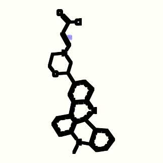 CN1c2ccccc2-c2nc3ccc(C4CN(/C=C/C(=O)Cl)CCO4)cc3c3cccc1c23